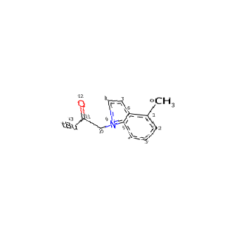 Cc1cccc2c1ccn2CC(=O)C(C)(C)C